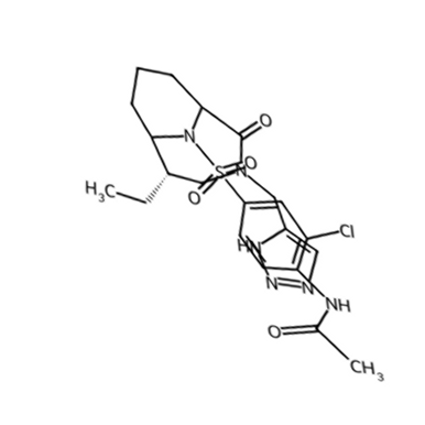 CC[C@H]1CN(Cc2cnn[nH]2)C(=O)C2CCCC1N2S(=O)(=O)c1ccc(NC(C)=O)c(Cl)c1